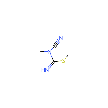 CSC(=N)N(C)C#N